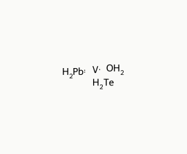 O.[PbH2].[TeH2].[V]